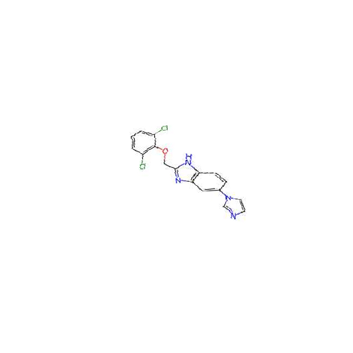 Clc1cccc(Cl)c1OCc1nc2cc(-n3ccnc3)ccc2[nH]1